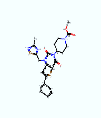 CCc1nsc(Cn2c(=O)n(C3CCN(C(=O)OC(C)(C)C)CC3)c(=O)c3sc(-c4ccccc4)cc32)n1